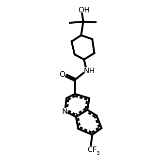 CC(C)(O)C1CCC(NC(=O)c2cnc3cc(C(F)(F)F)ccc3c2)CC1